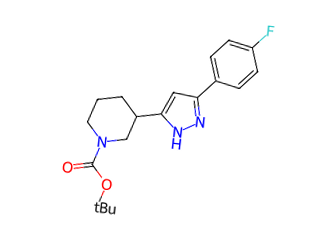 CC(C)(C)OC(=O)N1CCCC(c2cc(-c3ccc(F)cc3)n[nH]2)C1